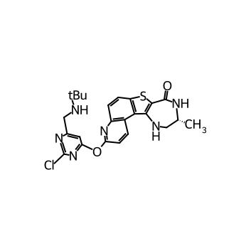 C[C@@H]1CNc2c(sc3ccc4nc(Oc5cc(CNC(C)(C)C)nc(Cl)n5)ccc4c23)C(=O)N1